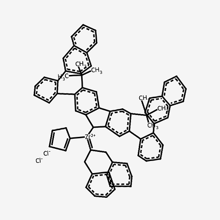 CC(C)(C)c1cc2c(cc1-c1ccccc1-c1ccc3ccccc3c1)[CH]([Zr+2]([C]1=CC=CC1)=[C](Cc1ccccc1)Cc1ccccc1)c1cc(-c3ccccc3-c3ccc4ccccc4c3)c(C(C)(C)C)cc1-2.[Cl-].[Cl-]